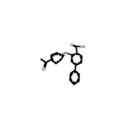 CC(=O)c1ccc(Nc2cc(-c3ccccc3)ccc2C(=O)O)cc1